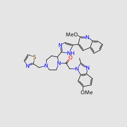 COc1ccc2nc(C)n(CC(=O)N3CCN(Cc4nccs4)CCC3c3ncc(-c4cc5ccccc5nc4OC)[nH]3)c2c1